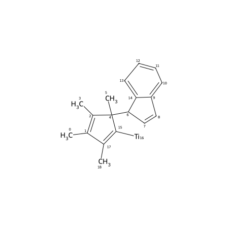 CC1=C(C)C(C)(C2C=Cc3ccccc32)[C]([Ti])=C1C